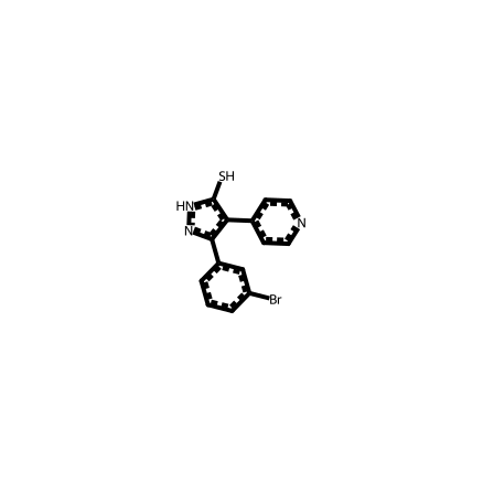 Sc1[nH]nc(-c2cccc(Br)c2)c1-c1ccncc1